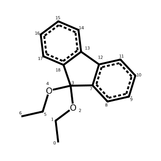 CCOC1(OCC)c2c[c]ccc2-c2ccccc21